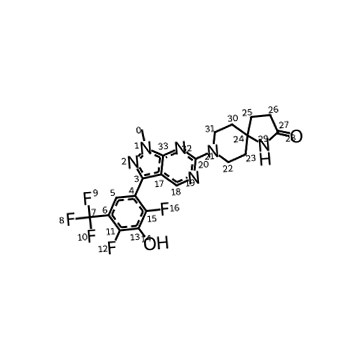 Cn1nc(-c2cc(C(F)(F)F)c(F)c(O)c2F)c2cnc(N3CCC4(CCC(=O)N4)CC3)nc21